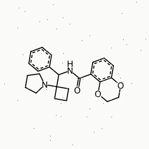 O=C(NC(c1ccccc1)C1(N2CCCC2)CCC1)c1cccc2c1OCCO2